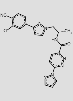 C[C@@H](Cn1ccc(-c2ccc(C#N)c(Cl)c2)n1)NC(=O)c1ccc(-n2cccn2)nn1